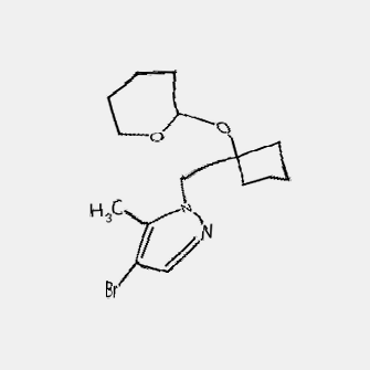 Cc1c(Br)cnn1CC1(OC2CCCCO2)CCC1